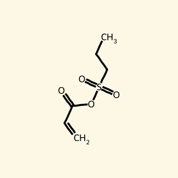 C=CC(=O)OS(=O)(=O)CCC